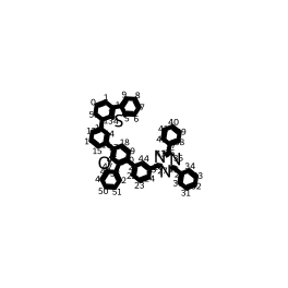 C1=Cc2c(sc3ccccc23)C(c2cccc(-c3ccc(-c4cccc(-c5nc(-c6ccccc6)nc(-c6ccccc6)n5)c4)c4c3oc3ccccc34)c2)C1